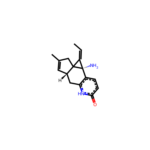 C/C=C1\C23CC(C)=C[C@H]2Cc2[nH]c(=O)ccc2[C@]13N